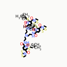 C[Si](C)(C)CCSc1c(C(=O)N2CCSC2=S)ccc(C(=O)NCCCN(CCCNC(=O)c2ccc(C(=O)N3CCSC3=S)c(SCC[Si](C)(C)C)[n+]2[O-])CCCNC(=O)c2ccc(C(=O)N3CCSC3=S)c(SCC[Si](C)(C)C)[n+]2[O-])[n+]1[O-]